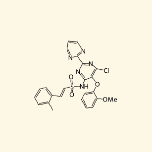 COc1ccccc1Oc1c(Cl)nc(-c2ncccn2)nc1NS(=O)(=O)/C=C/c1ccccc1C